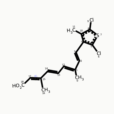 CC(C=Cc1c(Cl)sc(Cl)c1C)=CC=C/C(C)=C/C(=O)O